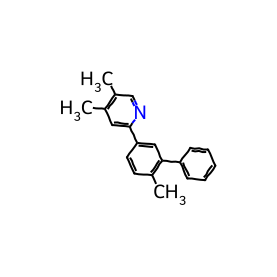 Cc1cnc(-c2ccc(C)c(-c3ccccc3)c2)cc1C